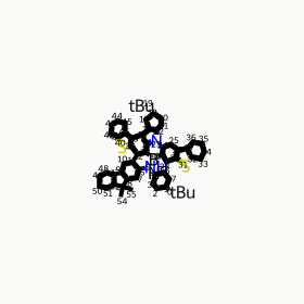 CC(C)(C)c1ccc(Nc2cc3c(cc2-c2c4c5c(c6cc(C(C)(C)C)ccc6n5-c5cc6c(cc5B4)sc4ccccc46)c4c2sc2ccccc24)-c2ccccc2C3(C)C)cc1